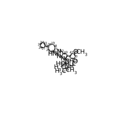 COc1cc(OC)cc(-c2cc3cnc(NC4CCCCC(c5ccccc5)CC4)nc3nc2NC(O)NC(C)(C)C)c1